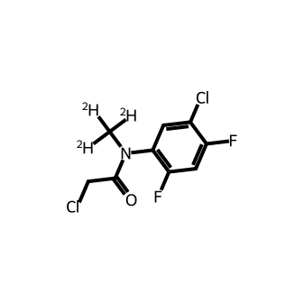 [2H]C([2H])([2H])N(C(=O)CCl)c1cc(Cl)c(F)cc1F